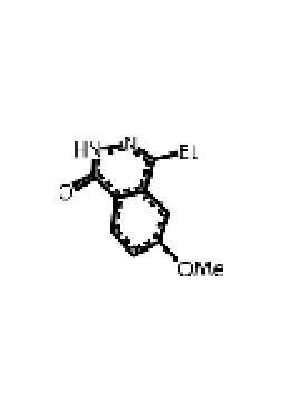 CCc1n[nH]c(=O)c2ccc(OC)cc12